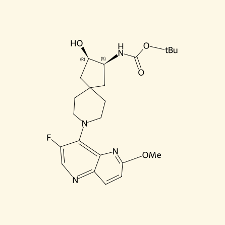 COc1ccc2ncc(F)c(N3CCC4(CC3)C[C@@H](O)[C@@H](NC(=O)OC(C)(C)C)C4)c2n1